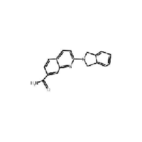 NC(=O)c1ccc2ccc(N3Cc4ccccc4C3)nc2c1